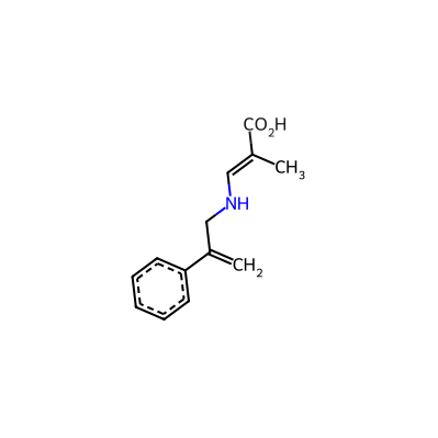 C=C(CNC=C(C)C(=O)O)c1ccccc1